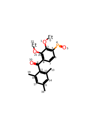 CCOc1c(P=O)ccc(C(=O)c2c(C)cc(C)cc2C)c1OCC